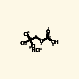 Cl.O=C(O)OCC(Cl)(Cl)Cl